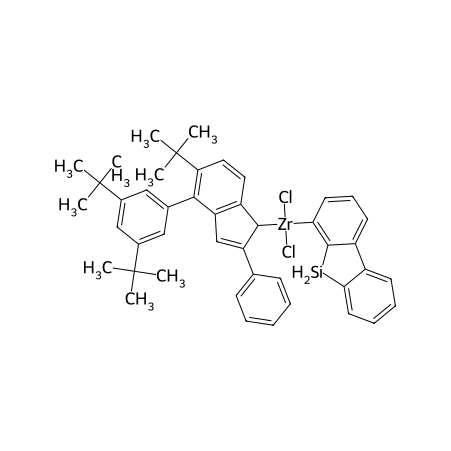 CC(C)(C)c1cc(-c2c(C(C)(C)C)ccc3c2C=C(c2ccccc2)[CH]3[Zr]([Cl])([Cl])[c]2cccc3c2[SiH2]c2ccccc2-3)cc(C(C)(C)C)c1